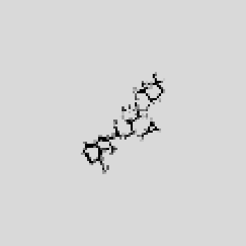 CC1(C)CC[C@@H](CC(F)(C#N)NC(=O)[C@H](CC2CC2)NC(=O)c2cc3cccc(Cl)c3[nH]2)C(=O)N1